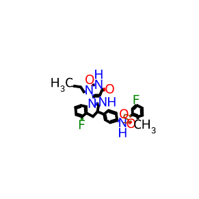 CCCCn1c(=O)[nH]c(=O)c2[nH]c(C(Cc3ccccc3F)c3ccc(NS(=O)(=O)c4cc(F)ccc4C)cc3)nc21